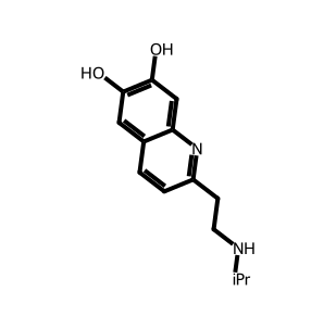 CC(C)NCCc1ccc2cc(O)c(O)cc2n1